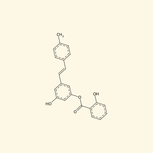 Cc1ccc(/C=C/c2cc(O)cc(OC(=O)c3ccccc3O)c2)cc1